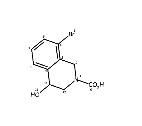 O=C(O)N1Cc2c(Br)cccc2C(O)C1